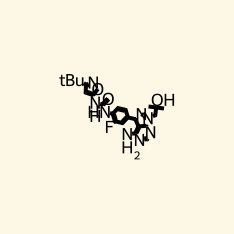 CC(C)(O)Cn1nc(-c2ccc(NC(=O)Nc3cc(C(C)(C)C)no3)c(F)c2)c2c(N)ncnc21